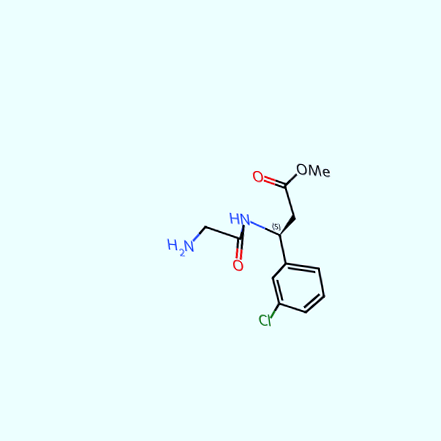 COC(=O)C[C@H](NC(=O)CN)c1cccc(Cl)c1